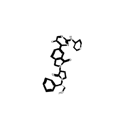 O=C1c2cc(-c3nc(NC4CCOCC4)ncc3Cl)ccc2CN1C1CCN([C@H](CO)c2ccccc2)C1=O